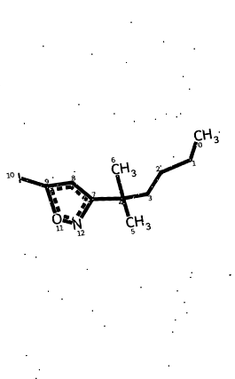 CCCCC(C)(C)c1cc(I)on1